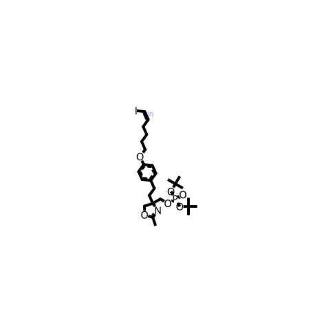 CC1=NC(CCc2ccc(OCCCC/C=C\I)cc2)(COP(=O)(OC(C)(C)C)OC(C)(C)C)CO1